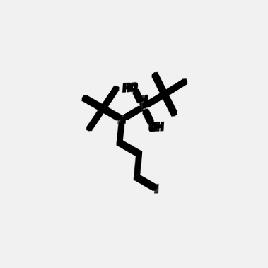 CC(C)(C)N(CCCI)[PH](O)(O)C(C)(C)C